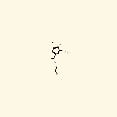 [CH2]CC[CH]OOC(=O)c1cc(OC)c(OC)c(OC)c1